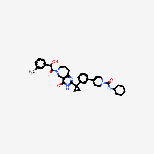 O=C(NC1CCCCC1)N1CC=C(c2cccc(C3(c4nc5c(c(=O)[nH]4)CN(C(=O)C(O)c4cccc(C(F)(F)F)c4)CCC5)CC3)c2)CC1